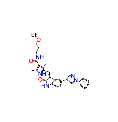 CCOCCCNC(=O)c1c(C)[nH]c(/C=C2\C(=O)Nc3ccc(-c4cnn(-c5ccccc5)c4)cc32)c1C